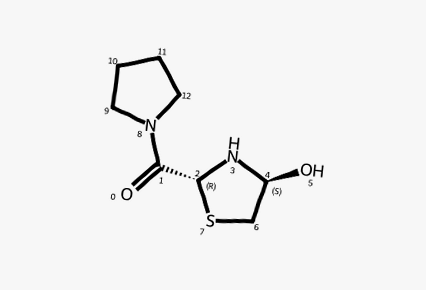 O=C([C@@H]1N[C@@H](O)CS1)N1CCCC1